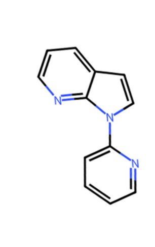 c1ccc(-n2ccc3cccnc32)nc1